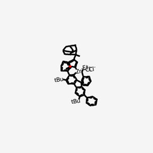 CC/[C](c1ccccc1)=[Zr+2](\[C]1=CC(C2(C)C3CC4CC(C3)CC2C4)=CC1C)[c]1c2c(cc(C(C)(C)C)c1-c1ccccc1)-c1cc(C(C)(C)C)c(-c3ccccc3)cc1C2.[Cl-].[Cl-]